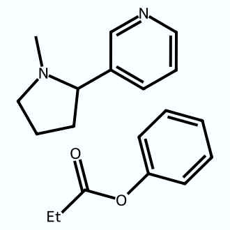 CCC(=O)Oc1ccccc1.CN1CCCC1c1cccnc1